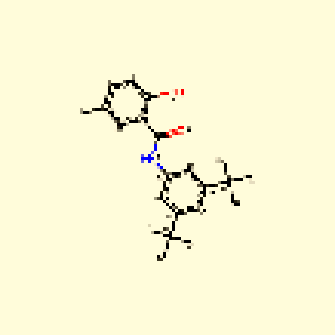 Cc1ccc(O)c(C(=O)Nc2cc(C(C)(C)C)cc(C(C)(C)C)c2)c1